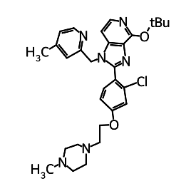 Cc1ccnc(Cn2c(-c3ccc(OCCN4CCN(C)CC4)cc3Cl)nc3c(OC(C)(C)C)nccc32)c1